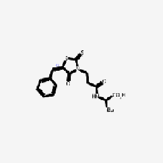 CCC(C)C(NC(=O)CCN1C(=O)/C(=C\c2ccccc2)SC1=S)C(=O)O